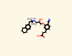 CC(C)(Cc1ccc2c(c1)CCCC2)NC[C@@H](O)COc1cc(CCC(=O)O)ccc1C#N